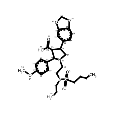 CCCCS(=O)(=O)N(CCC)CCN1CC(c2ccc3c(c2)OCO3)C(C(=O)O)C1c1ccc(OC)cc1